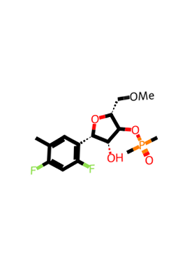 COC[C@H]1O[C@@H](c2cc(C)c(F)cc2F)[C@@H](O)C1OP(C)(C)=O